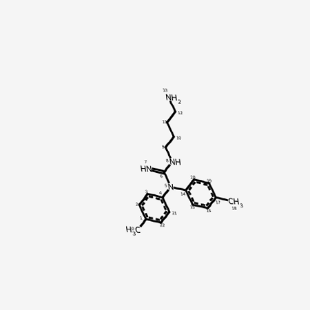 Cc1ccc(N(C(=N)NCCCCN)c2ccc(C)cc2)cc1